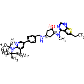 BC(B)(B)N(c1ncc(-c2ccc(CN[C@H]3C[C@@H](O)[C@@H](N(C)c4ncnc5sc(CC(F)(F)F)cc45)C3)cc2)cc1OC)C(B)(B)B